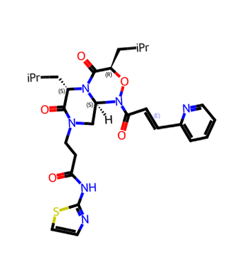 CC(C)C[C@H]1ON(C(=O)/C=C/c2ccccn2)[C@H]2CN(CCC(=O)Nc3nccs3)C(=O)[C@H](CC(C)C)N2C1=O